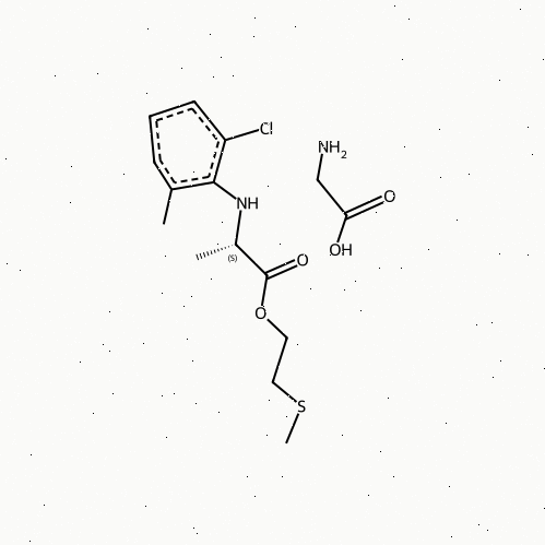 CSCCOC(=O)[C@H](C)Nc1c(C)cccc1Cl.NCC(=O)O